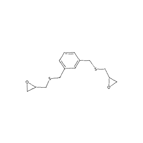 c1cc(CSCC2CO2)cc(CSCC2CO2)c1